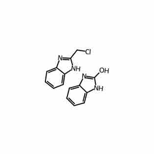 ClCc1nc2ccccc2[nH]1.Oc1nc2ccccc2[nH]1